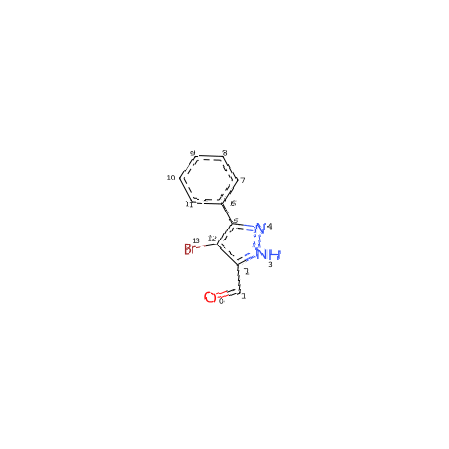 O=Cc1[nH]nc(-c2ccccc2)c1Br